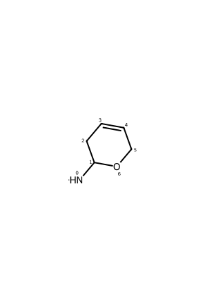 [NH]C1CC=CCO1